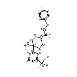 O=C(OCc1ccccc1)N1CCC(O)(c2cccc(C(F)(F)F)c2)CC1